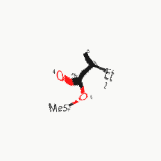 C=C(CC)C(=O)OSC